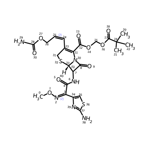 CO/N=C(\C(=O)NC1C(=O)N2C(C(=O)OCOC(=O)C(C)(C)C)=C(/C=C\COC(N)=O)CS[C@@H]12)c1csc(N)n1